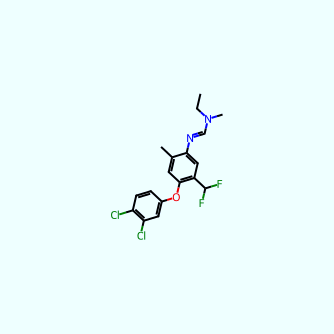 CCN(C)/C=N/c1cc(C(F)F)c(Oc2ccc(Cl)c(Cl)c2)cc1C